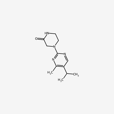 Cc1nc(N2CCNC(=O)C2)ncc1C(C)C